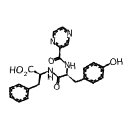 O=C(N[C@@H](Cc1ccc(O)cc1)C(=O)N[C@@H](Cc1ccccc1)C(=O)O)c1cnccn1